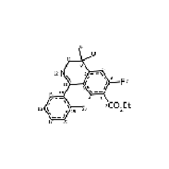 CCOC(=O)c1cc2c(cc1F)C(C)(C)CN=C2c1ccccc1C